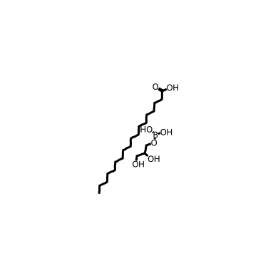 CCCCCCCCCCCCCCCCCC(=O)O.OCC(O)COB(O)O